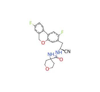 N#C[C@H](Cc1cc2c(cc1F)-c1ccc(F)cc1CO2)NC(=O)C1(N)CCOCC1